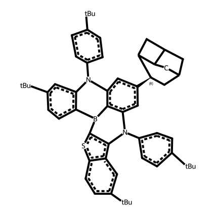 CC(C)(C)c1ccc(N2c3cc(C(C)(C)C)ccc3B3c4sc5ccc(C(C)(C)C)cc5c4N(c4ccc(C(C)(C)C)cc4)c4cc([C@@H]5CC6CC7CC5C7C6)cc2c43)cc1